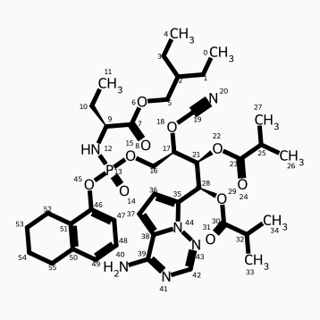 CCC(CC)COC(=O)[C@H](CC)NP(=O)(OC[C@@H](OC#N)[C@@H](OC(=O)C(C)C)[C@@H](OC(=O)C(C)C)c1ccc2c(N)ncnn12)Oc1cccc2c1CCCC2